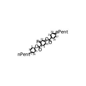 CCCCCc1ccc(OC(=O)c2ccc(OC(=O)c3ccc(CCCCC)cc3)cc2F)cc1